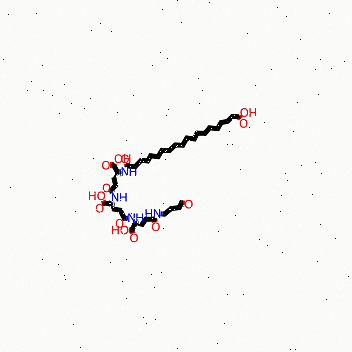 O=CCCCNC(=O)CC[C@H](NC(=O)CC[C@H](NC(=O)CC[C@H](NC(=O)CCCCCCCCCCCCCCCCCCC(=O)O)C(=O)O)C(=O)O)C(=O)O